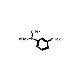 CCCCCCc1[c]ccc(N(CCCCCC)CCCCCC)c1